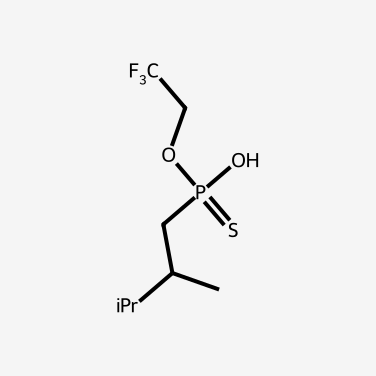 CC(C)C(C)CP(O)(=S)OCC(F)(F)F